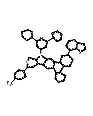 FC(F)(F)c1ccc(-c2ccc3c(c2)c2cc4c5ccccc5c5ccc(-c6cccc7ccsc67)cc5c4cc2n3-c2cc(-c3ccccc3)nc(-c3ccccc3)c2)cc1